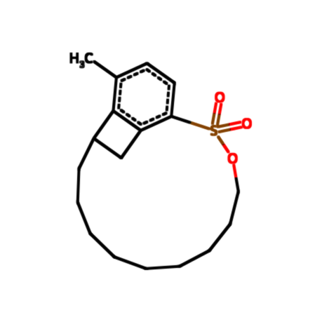 Cc1ccc2c3c1C(CCCCCCCCCOS2(=O)=O)C3